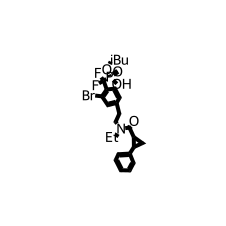 CCC(C)OP(=O)(O)C(F)(F)c1ccc(CCN(CC)C(=O)C2CC2c2ccccc2)cc1Br